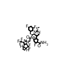 CSc1ncc(-c2ccc(F)c(C(N)=O)c2)c([C@H](Cc2cc(F)cc(F)c2)NC(=O)Cn2nc(C(F)(F)F)c3c2C(F)(F)[C@@H]2CC[C@H]32)n1